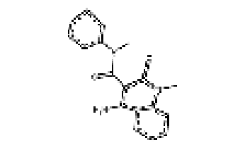 CN(C(=O)c1c(N)c2ccccc2n(C)c1=O)c1ccccc1